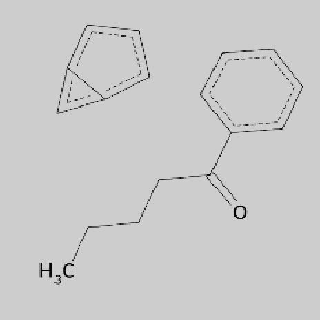 CCCCC(=O)c1ccccc1.c1cc2cc-2c1